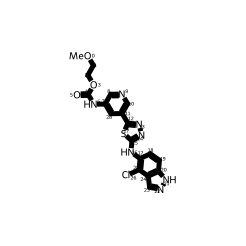 COCCOC(=O)Nc1cncc(-c2nnc(Nc3ccc4[nH]ncc4c3Cl)s2)c1